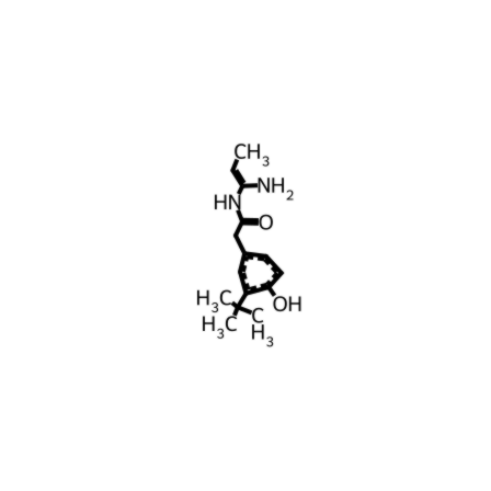 CC=C(N)NC(=O)Cc1ccc(O)c(C(C)(C)C)c1